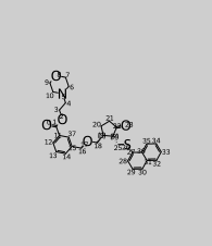 O=C(OCCN1CCOCC1)c1cccc(COC[C@H]2CCC(=O)[C@@H]2CSc2cccc3ccccc23)c1